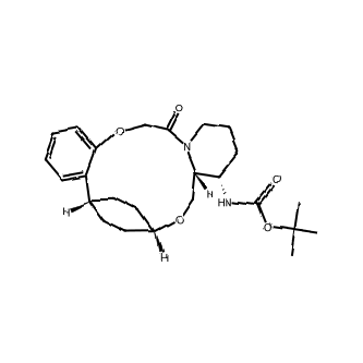 CC(C)(C)OC(=O)N[C@H]1CCCN2C(=O)COc3ccccc3[C@H]3CC[C@H](CC3)OC[C@@H]12